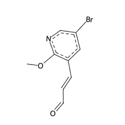 COc1ncc(Br)cc1C=CC=O